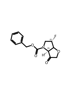 O=C1COC2[C@@H]1N(C(=O)OCc1ccccc1)C[C@@H]2F